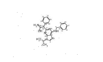 CC(C)n1cnc2c(NCc3ccccc3)nc([C@H](c3ccccc3)C(N)O)nc21